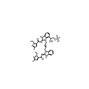 CCn1nc(C)cc1C(=O)/N=c1\n(C)c2ccccc2n1C/C=C/Cn1/c(=N/C(=O)c2cc(C)nn2CC)n(C)c2cccc(C(O)COS(C)(=O)=O)c21